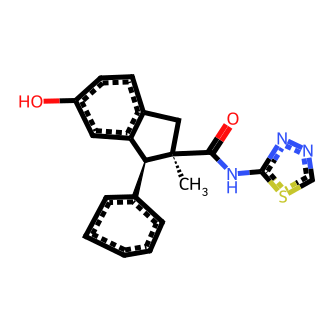 C[C@@]1(C(=O)Nc2nncs2)Cc2ccc(O)cc2[C@@H]1c1ccccc1